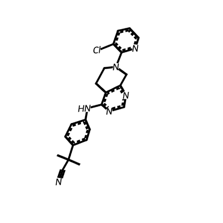 CC(C)(C#N)c1ccc(Nc2ncnc3c2CCN(c2ncccc2Cl)C3)cc1